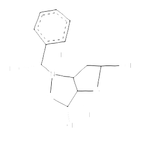 C[C@@H]1ON([C@H](C)c2ccccc2)[C@H]2CC(O)O[C@@H]12